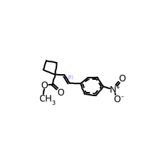 COC(=O)C1(/C=C/c2ccc([N+](=O)[O-])cc2)CCC1